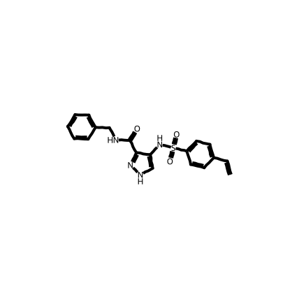 C=Cc1ccc(S(=O)(=O)Nc2c[nH]nc2C(=O)NCc2ccccc2)cc1